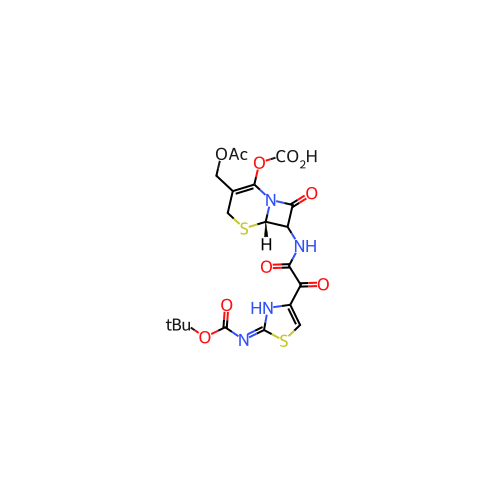 CC(=O)OCC1=C(OC(=O)O)N2C(=O)C(NC(=O)C(=O)c3csc(=NC(=O)OC(C)(C)C)[nH]3)[C@@H]2SC1